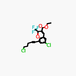 CCOC(=O)C1=Cc2cc(Cl)cc(C#CCCCCl)c2OC1C(F)(F)F